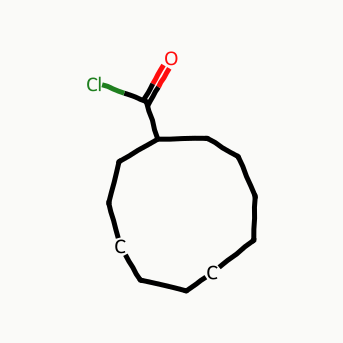 O=C(Cl)C1CCCCCCCCCC1